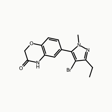 CCc1nn(C)c(-c2ccc3c(c2)NC(=O)CO3)c1Br